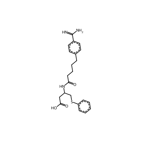 N=C(N)c1ccc(CCCCC(=O)NC(CSc2ccccc2)CC(=O)O)cc1